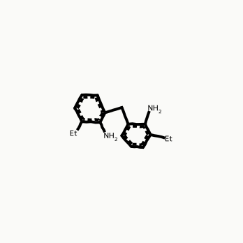 CCc1cccc(Cc2cccc(CC)c2N)c1N